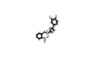 O=[N+]([O-])c1ccccc1CNc1nc(-c2ccc(F)c(F)c2)cs1